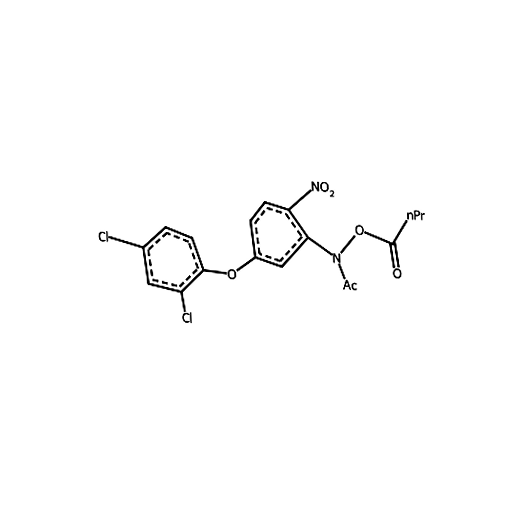 CCCC(=O)ON(C(C)=O)c1cc(Oc2ccc(Cl)cc2Cl)ccc1[N+](=O)[O-]